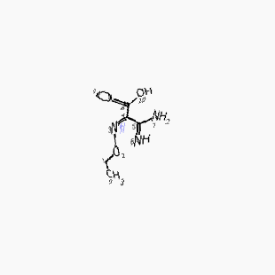 CCO/N=C(\C(=N)N)C(=O)O